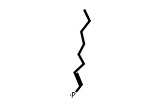 CCCCCCC=C[P]